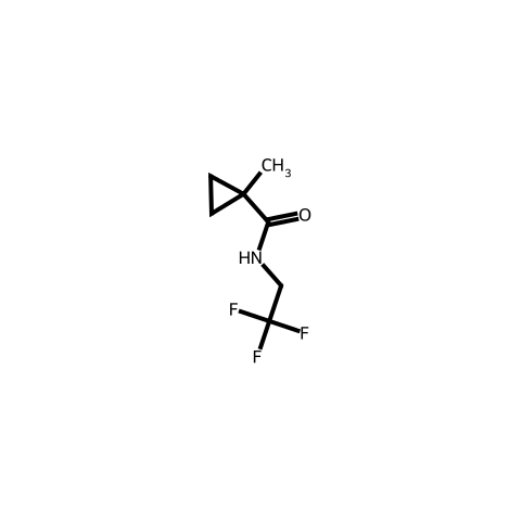 CC1(C(=O)NCC(F)(F)F)CC1